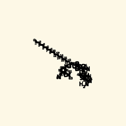 CCCCCCCCCCCCCCCCCCC[C@H](COP(=O)(O)OC[C@@](C#N)(OC)[C@H](Cc1ccc2c(N)ncnn12)OC(C)(O)S)OCc1ccc(C#N)c(OC(C)C)c1